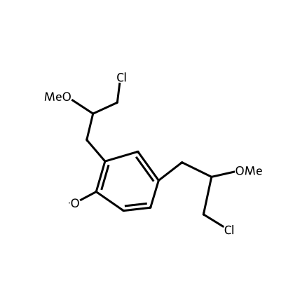 COC(CCl)Cc1ccc([O])c(CC(CCl)OC)c1